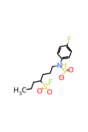 CCCC(CCCN(c1ccc(F)cc1)[SH](=O)=O)S(=O)(=O)F